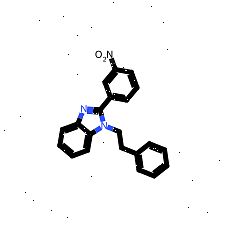 O=[N+]([O-])c1cccc(-c2nc3ccccc3n2CCc2ccccc2)c1